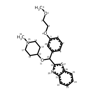 COCCOc1cccc(C(OC2CCN(C)CC2)c2nc3ccccc3s2)c1